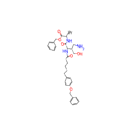 CC(C)C(NC(=O)C(NC(=O)CCCCCc1ccc(OCc2ccccc2)cc1)C(CN)CO)C(=O)OCc1ccccc1